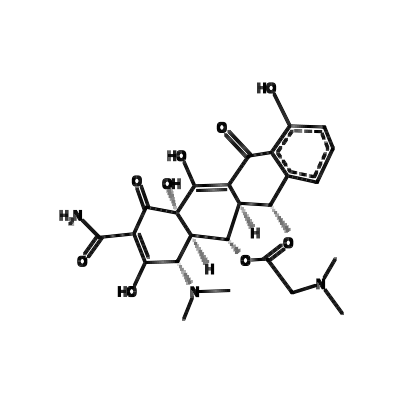 C[C@H]1c2cccc(O)c2C(=O)C2=C(O)[C@]3(O)C(=O)C(C(N)=O)=C(O)[C@@H](N(C)C)[C@@H]3[C@@H](OC(=O)CN(C)C)[C@@H]21